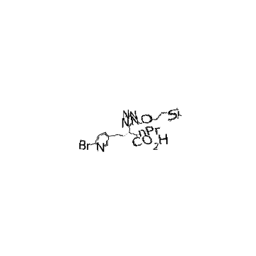 CCC[C@H](C(=O)O)[C@H](CCc1ccc(Br)nc1)c1nnnn1COCC[Si](C)(C)C